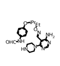 CC(C)Oc1ccc(NC=O)cc1.CCON=Cc1c(N)ncnc1N1CCNCC1